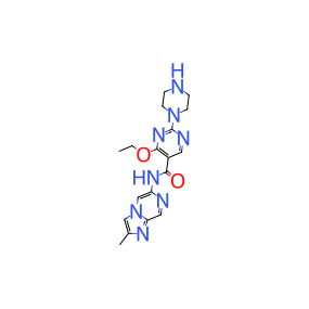 CCOc1nc(N2CCNCC2)ncc1C(=O)Nc1cn2cc(C)nc2cn1